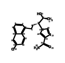 C[C@H](O)[C@@H](CCc1cccc2cc(Cl)ccc12)n1cnc(C(N)=O)c1